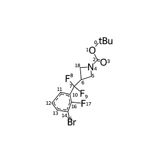 CC(C)(C)OC(=O)N1CC(C(F)(F)c2cccc(Br)c2F)C1